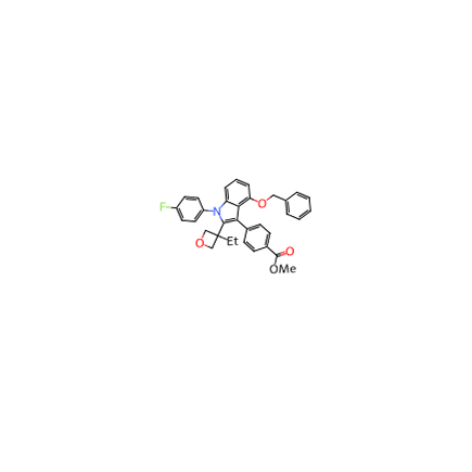 CCC1(c2c(-c3ccc(C(=O)OC)cc3)c3c(OCc4ccccc4)cccc3n2-c2ccc(F)cc2)COC1